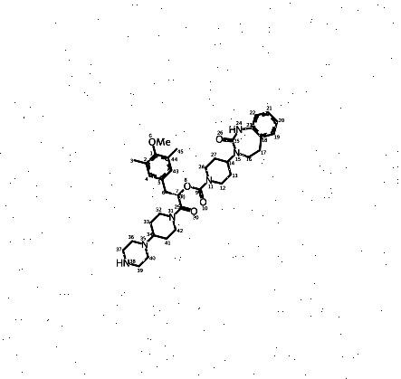 COc1c(C)cc(C[C@@H](OC(=O)N2CCC(N3CCc4ccccc4NC3=O)CC2)C(=O)N2CCC(N3CCNCC3)CC2)cc1C